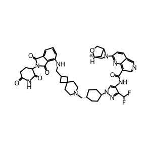 O=C1CCC(N2C(=O)c3cccc(NCC4CC5(CCN(C[C@H]6CC[C@H](n7cc(NC(=O)c8cncc9ccc(N%10C[C@H]%11CC%10CO%11)nc89)c(C(F)F)n7)CC6)CC5)C4)c3C2=O)C(=O)N1